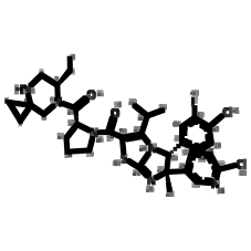 CC[C@@H]1CNC2(CC2)CN1C(=O)[C@@H]1CCCN1C(=O)C1=C(C(C)C)N2C(=N[C@@](C)(c3ccc(Cl)nc3)[C@H]2c2ccc(Cl)c(F)c2)S1